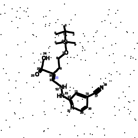 CC(C)(C)[Si](C)(C)OCC/C(=C\NNc1cc(C#N)ccn1)C(=O)O